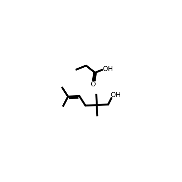 CC(C)=CCC(C)(C)CO.CCC(=O)O